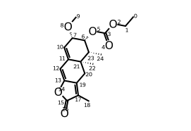 CCOC(=O)O[C@H]1[C@@H](OC)C=C2C=C3OC(=O)C(C)=C3C[C@]2(C)[C@H]1C